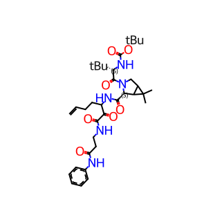 C=CCCC(NC(=O)[C@@H]1C2C(CN1C(=O)[C@@H](NC(=O)OC(C)(C)C)C(C)(C)C)C2(C)C)C(=O)C(=O)NCCC(=O)Nc1ccccc1